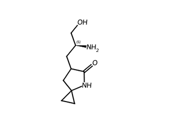 N[C@H](CO)CC1CC2(CC2)NC1=O